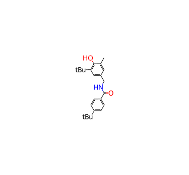 Cc1cc(CNC(=O)c2ccc(C(C)(C)C)cc2)cc(C(C)(C)C)c1O